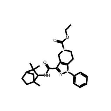 CCOC(=O)N1CCc2c(c(C(=O)NC3C4(C)CCC(C4)C3(C)C)nn2-c2ccccc2)C1